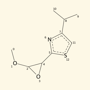 COC1OC1c1nc(C(C)C)cs1